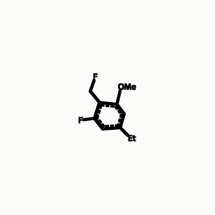 CCc1cc(F)c(CF)c(OC)c1